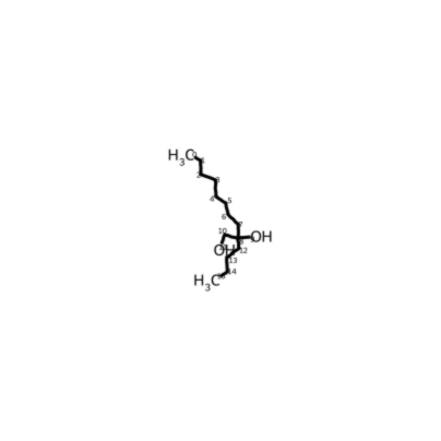 CCCCCCCCC(O)(CO)CCCC